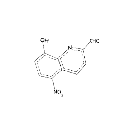 O=Cc1ccc2c([N+](=O)[O-])ccc(O)c2n1